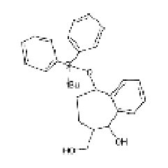 CC(C)(C)[Si](OC1CCC(CO)C(O)c2ccccc21)(c1ccccc1)c1ccccc1